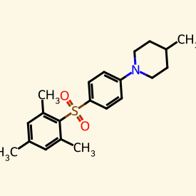 Cc1cc(C)c(S(=O)(=O)c2ccc(N3CCC(C)CC3)cc2)c(C)c1